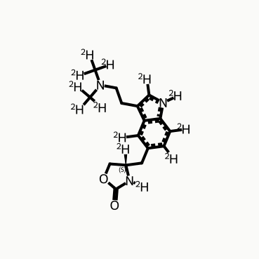 [2H]c1c(C[C@@]2([2H])COC(=O)N2[2H])c([2H])c2c(CCN(C([2H])([2H])[2H])C([2H])([2H])[2H])c([2H])n([2H])c2c1[2H]